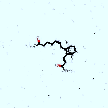 CCCCCC(=O)C=CC1C(C/C=C\CCCC(=O)OC)[C@H]2C=C[C@H]1C2